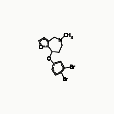 CN1CCC(Oc2ccc(Br)c(Br)c2)c2occc2C1